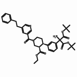 CCOC(=O)[C@H]1CN(C(=O)c2cncc(CCc3ccccc3)c2)CC[C@H]1c1cccc(C(N)(C(=O)OC(C)(C)C)C(=O)OC(C)(C)C)c1